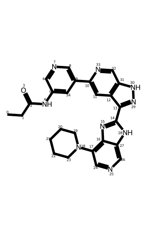 CCC(=O)Nc1cncc(-c2cc3c(-c4nc5c(N6CCCCC6)cncc5[nH]4)n[nH]c3cn2)c1